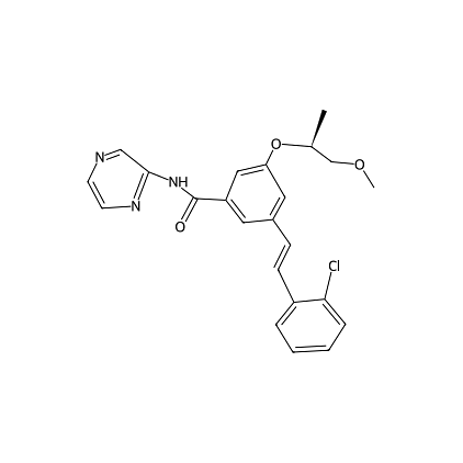 COC[C@H](C)Oc1cc(C=Cc2ccccc2Cl)cc(C(=O)Nc2cnccn2)c1